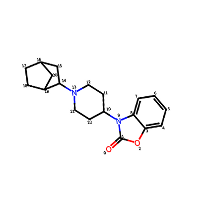 O=c1oc2ccccc2n1C1CCN(C2CC3CCC2C3)CC1